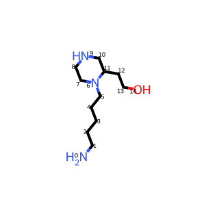 NCCCCCN1CCNCC1CCO